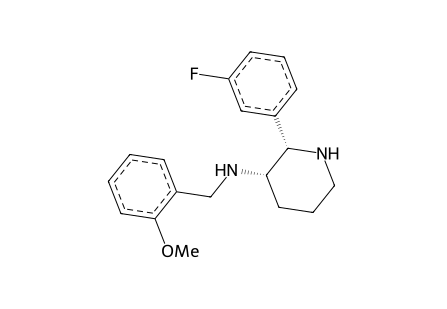 COc1ccccc1CN[C@H]1CCCN[C@H]1c1cccc(F)c1